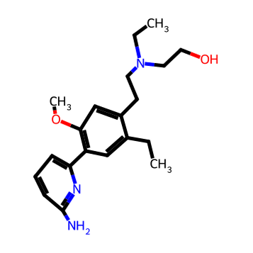 CCc1cc(-c2cccc(N)n2)c(OC)cc1CCN(CC)CCO